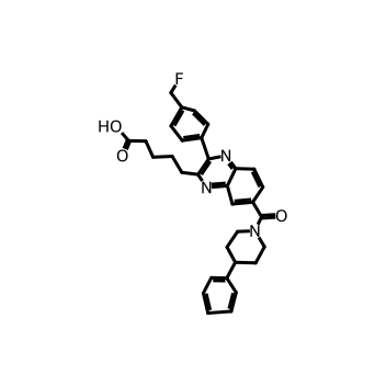 O=C(O)CCCCc1nc2cc(C(=O)N3CCC(c4ccccc4)CC3)ccc2nc1-c1ccc(CF)cc1